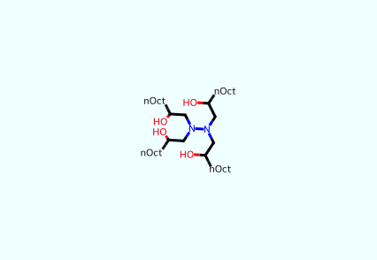 CCCCCCCCC(O)CN(CC(O)CCCCCCCC)N(CC(O)CCCCCCCC)CC(O)CCCCCCCC